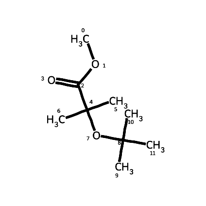 COC(=O)C(C)(C)OC(C)(C)C